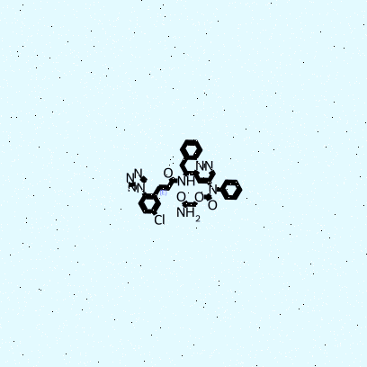 NC(=O)COC(=O)N(c1ccccc1)c1cnnc(C(Cc2ccccc2)NC(=O)/C=C/c2cc(Cl)ccc2-n2cnnn2)c1